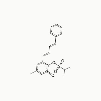 Cc1cc(C=CC=Cc2ccccc2)n(OS(=O)(=O)C(C)C)c(=O)c1